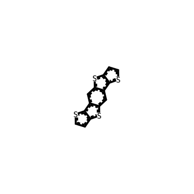 c1cc2sc3cc4c(cc3c2s1)sc1ccsc14